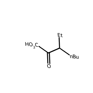 CCCCC(CC)C(=O)C(=O)O